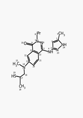 Cc1cc(Nc2nn(C(C)C)c(=O)c3cc(N(C)CC(C)S)ccc23)n[nH]1